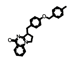 Cc1ccc(COc2ccc(CC3CCn4c3nc(=O)c3ccccc34)cc2)cc1